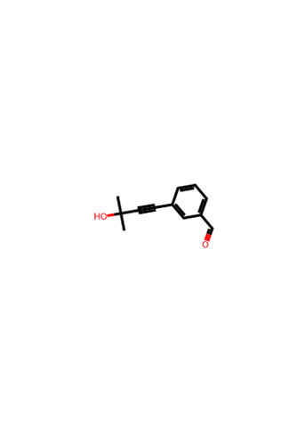 CC(C)(O)C#Cc1cccc(C=O)c1